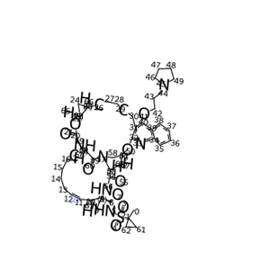 CC1(S(=O)(=O)NC(=O)[C@@]23C[C@H]2/C=C\CCCCC[C@@H]2NC(=O)O[C@@H]4C[C@H]4CCCCCc4c(nc5ccccc5c4OCCCN4CCCC4)O[C@@H]4C[C@@H](C(=O)N3)N(C4)C2=O)CC1